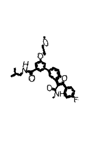 CNC(=O)c1c(-c2ccc(F)cc2)oc2ccc(-c3cc(OCCOC)cc(C(=O)NCC(C)C)c3)cc12